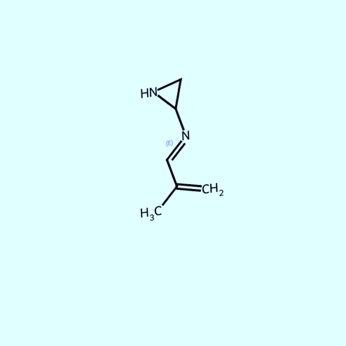 C=C(C)/C=N/C1CN1